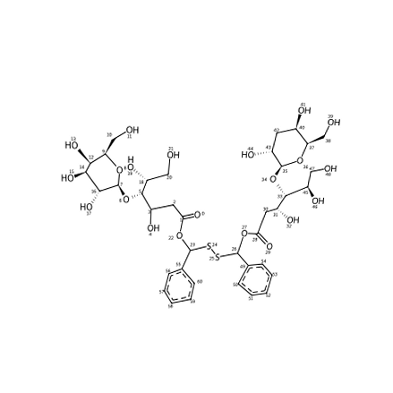 O=C(CC(O)[C@H](O[C@@H]1O[C@H](CO)[C@H](O)[C@H](O)[C@H]1O)[C@H](O)CO)OC(SSC(OC(=O)C[C@@H](O)[C@H](O[C@@H]1O[C@H](CO)[C@H](O)C[C@H]1O)[C@H](O)CO)c1ccccc1)c1ccccc1